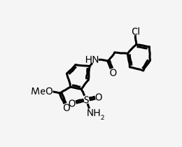 COC(=O)c1ccc(NC(=O)Cc2ccccc2Cl)cc1S(N)(=O)=O